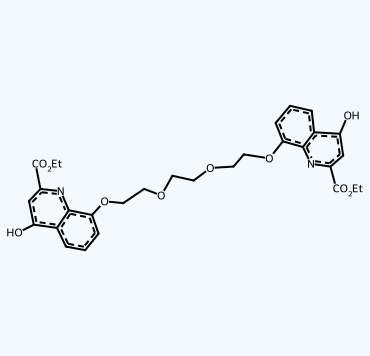 CCOC(=O)c1cc(O)c2cccc(OCCOCCOCCOc3cccc4c(O)cc(C(=O)OCC)nc34)c2n1